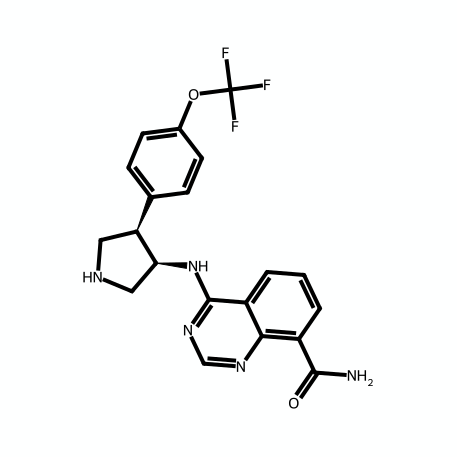 NC(=O)c1cccc2c(N[C@H]3CNC[C@H]3c3ccc(OC(F)(F)F)cc3)ncnc12